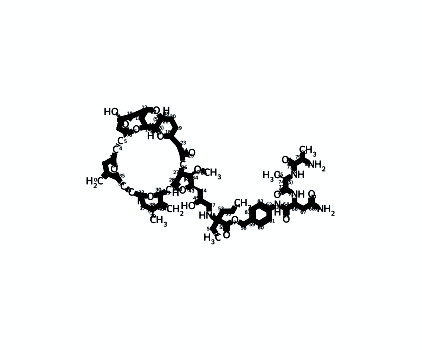 C=C1CC2CC[C@]34C[C@@H](O)C(O3)C3CC(O4)[C@H]4OC(CC[C@@H]4O3)CC(=O)CC3[C@H](CC4O[C@@H](CCC1O2)C[C@@H](C)C4=C)O[C@H](CC(O)CNC(CC)(CCC)C(=O)OCc1ccc(NC(=O)C(CC(N)=O)NC(=O)[C@H](C)NC(=O)C(C)N)cc1)[C@@H]3OC